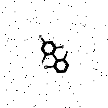 Fc1cc(F)c(-c2c(Cl)[c]ccc2F)c(F)c1